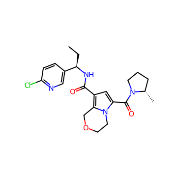 CC[C@@H](NC(=O)c1cc(C(=O)N2CCC[C@@H]2C)n2c1COCC2)c1ccc(Cl)nc1